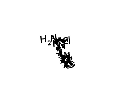 Nc1cc(Cl)nc(SCCc2cc3c(cn2)SCC3)n1